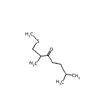 CSCC(C)C(=O)CCC(C)C